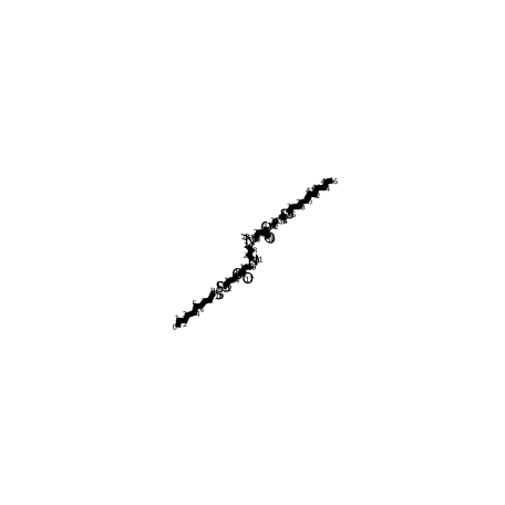 CCCCCCCCCCSSSCCOC(=O)CCN(C)CCCN(C)CCC(=O)OCCSSSCCCCCCCCCC